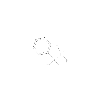 F[C](F)(c1ccccc1)[Sn]([F])([F])[F]